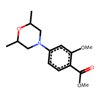 COC(=O)c1ccc(N2CC(C)OC(C)C2)cc1OC